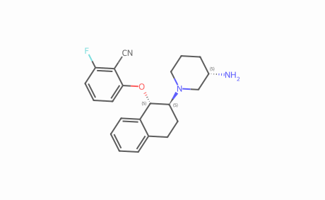 N#Cc1c(F)cccc1O[C@H]1c2ccccc2CC[C@@H]1N1CCC[C@H](N)C1